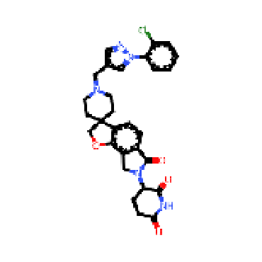 O=C1CCC(N2Cc3c(ccc4c3OCC43CCN(Cc4cnn(-c5ccccc5Cl)c4)CC3)C2=O)C(=O)N1